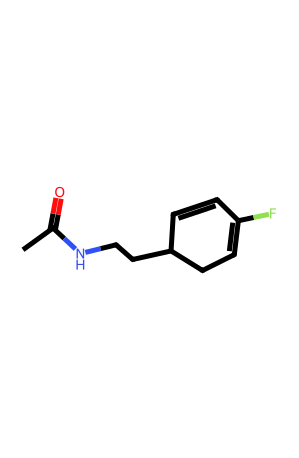 CC(=O)NCCC1C=CC(F)=CC1